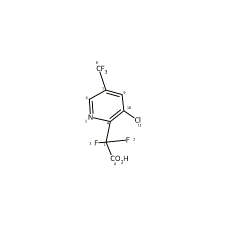 O=C(O)C(F)(F)c1ncc(C(F)(F)F)cc1Cl